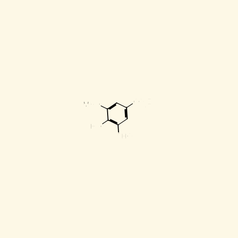 CCOC(=O)c1cc(C=O)c(O)c(OC)c1